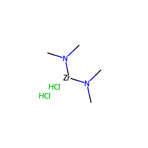 C[N](C)[Zr][N](C)C.Cl.Cl